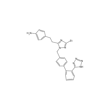 CCc1nc(CCc2ccc(N)cc2)n(Cc2ccc(-c3ccccc3-c3nnn[nH]3)cc2)n1